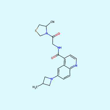 CC1CN(c2ccc3nccc(C(=O)NCC(=O)N4CSCC4C#N)c3c2)C1